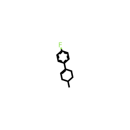 CC1CC=C(c2ccc(F)cc2)CC1